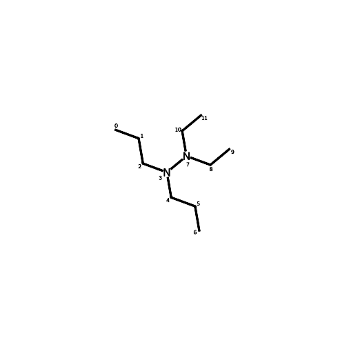 CCCN(CCC)N(CC)CC